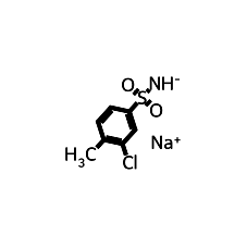 Cc1ccc(S([NH-])(=O)=O)cc1Cl.[Na+]